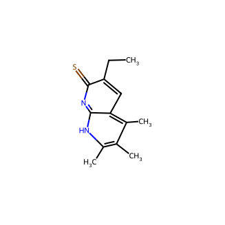 CCc1cc2c(C)c(C)c(C)[nH]c-2nc1=S